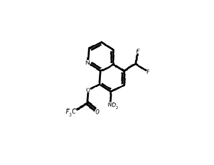 O=C(Oc1c([N+](=O)[O-])cc(C(F)F)c2cccnc12)C(F)(F)F